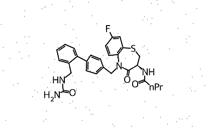 CCCC(=O)N[C@@H]1CSc2cc(F)ccc2N(Cc2ccc(-c3ccccc3CNC(N)=O)cc2)C1=O